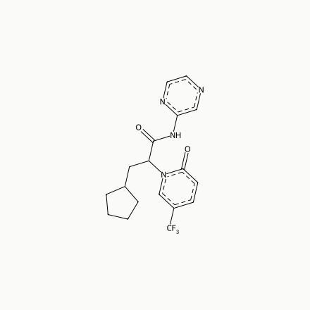 O=C(Nc1cnccn1)C(CC1CCCC1)n1cc(C(F)(F)F)ccc1=O